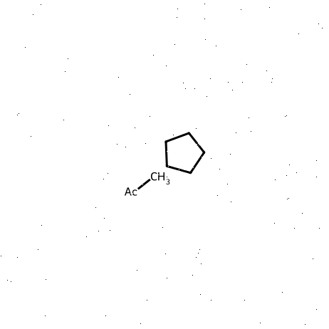 C1CCCC1.CC(C)=O